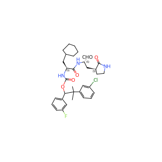 CC(C)(c1cccc(Cl)c1)C(OC(=O)N[C@@H](CC1CCCCC1)C(=O)N[C@H](C=O)C[C@@H]1CCNC1=O)c1cccc(F)c1